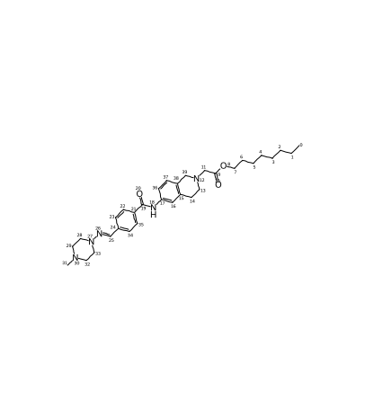 CCCCCCCCOC(=O)CN1CCc2cc(NC(=O)c3ccc(C=NN4CCN(C)CC4)cc3)ccc2C1